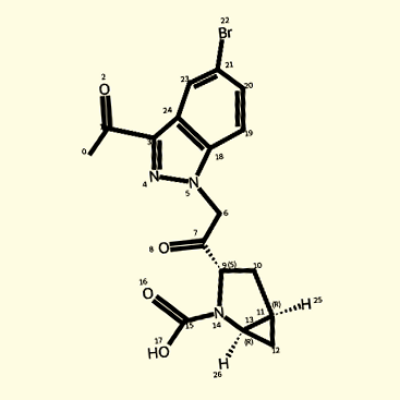 CC(=O)c1nn(CC(=O)[C@@H]2C[C@H]3C[C@H]3N2C(=O)O)c2ccc(Br)cc12